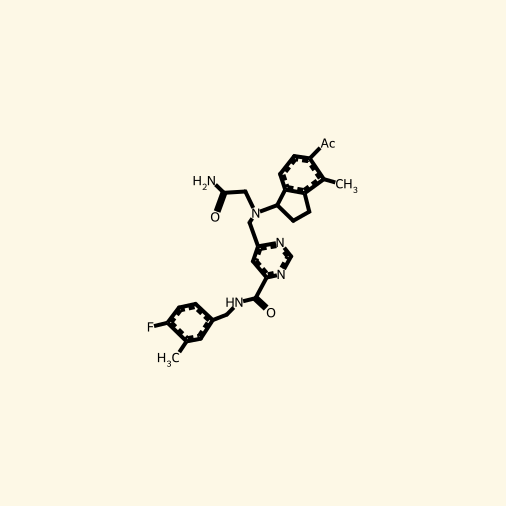 CC(=O)c1ccc2c(c1C)CCC2N(CC(N)=O)Cc1cc(C(=O)NCc2ccc(F)c(C)c2)ncn1